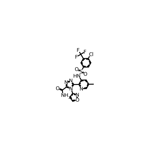 Cc1cnc(-c2nnc(C(N)=O)n2-c2ccon2)c(NS(=O)(=O)c2ccc(Cl)c(C(F)(F)F)c2)c1